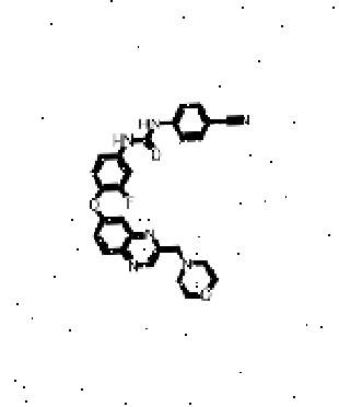 N#Cc1ccc(NC(=O)Nc2ccc(Oc3ccc4ncc(CN5CCOCC5)nc4c3)c(F)c2)cc1